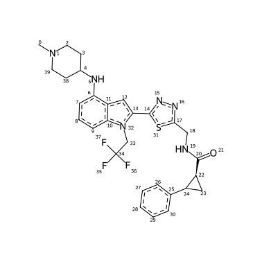 CN1CCC(Nc2cccc3c2cc(-c2nnc(CNC(=O)[C@H]4CC4c4ccccc4)s2)n3CC(F)(F)F)CC1